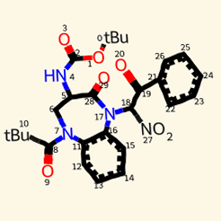 CC(C)(C)OC(=O)NC1CN(C(=O)C(C)(C)C)c2ccccc2N(C(C(=O)c2ccccc2)[N+](=O)[O-])C1=O